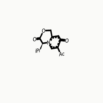 CC(=O)c1cn2c(cc1=O)COC(=O)[C@@H]2C(C)C